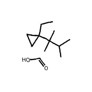 CCC1(C(C)(C)C(C)C)CC1.O=CO